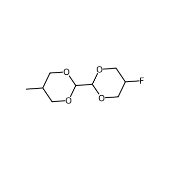 CC1COC(C2OCC(F)CO2)OC1